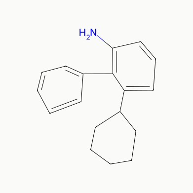 Nc1cccc(C2CCCCC2)c1-c1ccccc1